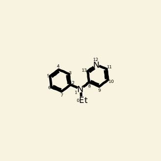 CCN(c1ccccc1)c1cccnc1